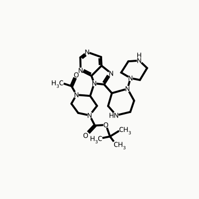 CC(=O)N1CCN(C(=O)OC(C)(C)C)CC1n1c(C2CNCCN2N2CCNCC2)nc2cncnc21